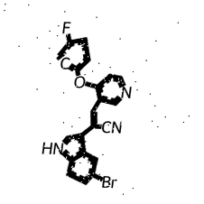 N#C/C(=C\c1cnccc1Oc1ccc(F)cc1)c1c[nH]c2ccc(Br)cc12